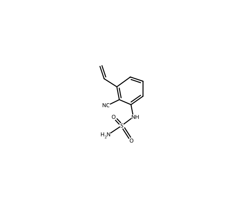 C=Cc1cccc(NS(N)(=O)=O)c1C#N